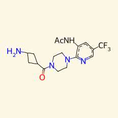 CC(=O)Nc1cc(C(F)(F)F)cnc1N1CCN(C(=O)C2CC(N)C2)CC1